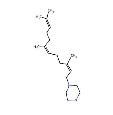 CC(C)=CCCC(C)=CCCC(C)=CCN1CC[N]CC1